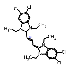 CCN1C(=C/C=C/C2N(CC)c3cc(Cl)c(Cl)cc3N2CC)N(CC)c2cc(Cl)c(Cl)cc21